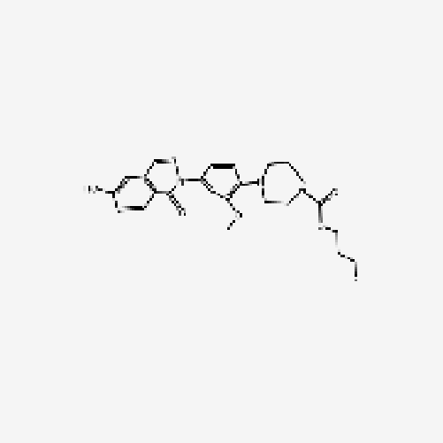 COc1cc(-n2ccc3cc(O)ccc3c2=O)ccc1N1CCCN(C(=O)OCCCF)CC1